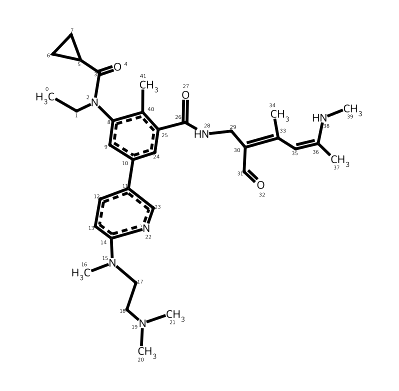 CCN(C(=O)C1CC1)c1cc(-c2ccc(N(C)CCN(C)C)nc2)cc(C(=O)NC/C(C=O)=C(C)/C=C(/C)NC)c1C